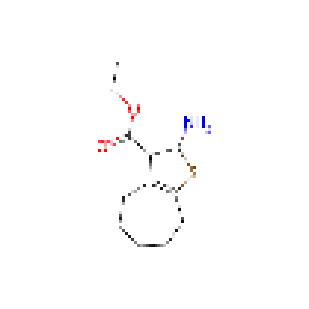 CCOC(=O)C1C2=C(CCCCC2)SC1N